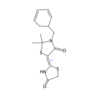 CC1(C)S/C(=C2\NC(=O)CS2)C(=O)N1CC1C=CC=CC1